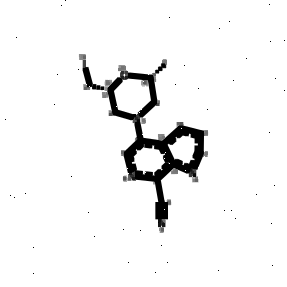 C[C@@H]1CN(c2cnc(C#N)c3ncccc23)C[C@H](CI)O1